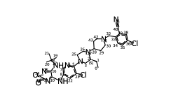 CC[C@H]1CN(c2ncc(NC3=NS(=O)(=O)N=C3NC(C)(C)C)cc2Cl)CCN1C1CCN(Cc2ccc(Cl)cc2C#N)CC1